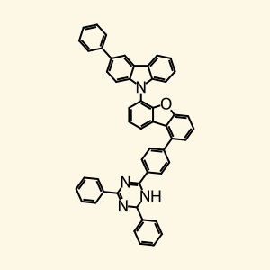 c1ccc(C2=NC(c3ccccc3)NC(c3ccc(-c4cccc5oc6c(-n7c8ccccc8c8cc(-c9ccccc9)ccc87)cccc6c45)cc3)=N2)cc1